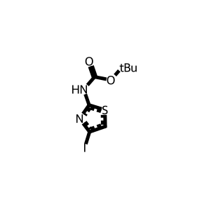 CC(C)(C)OC(=O)Nc1nc(I)cs1